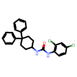 O=C(Nc1ccc(Cl)cc1Cl)NC1CCC(c2ccccc2)(c2ccccc2)CC1